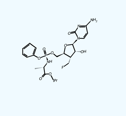 CC(C)OC(=O)[C@H](C)N[P@@](=O)(OC[C@H]1O[C@@H](n2ccc(N)nc2=O)[C@H](O)[C@@H]1CF)Oc1ccccc1